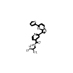 CCN[C@H](CC)CNC(=O)c1ccnc(-c2cnn3ccc(-c4cccs4)nc23)c1